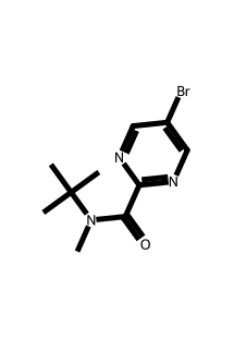 CN(C(=O)c1ncc(Br)cn1)C(C)(C)C